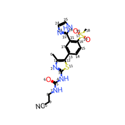 Cc1nc(NC(=O)NCCC#N)sc1-c1ccc(S(C)(=O)=O)c(-c2ncc[nH]2)c1